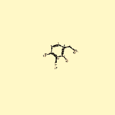 Fc1ccc(C[P])c(F)c1F